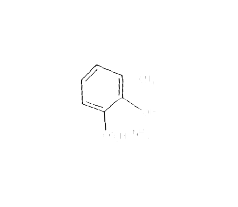 C.N.O=C(O)c1ccccc1O